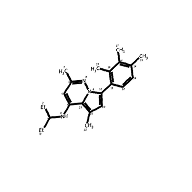 CCC(CC)Nc1cc(C)nn2c(-c3ccc(C)c(C)c3C)cc(C)c12